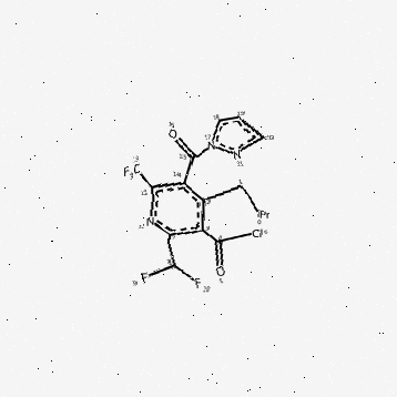 CC(C)Cc1c(C(=O)Cl)c(C(F)F)nc(C(F)(F)F)c1C(=O)n1cccn1